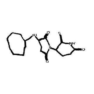 O=C1CCC(N2C(=O)CC(NC3CCCCCCC3)C2=O)C(=O)N1